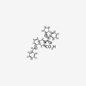 O=C(O)[C@@H]1Cc2c(cccc2OCc2ccccc2)CN1C(=O)[C@@H](OC1CCCC1)c1ccccc1